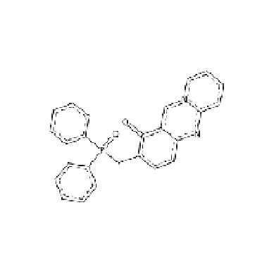 O=c1c(CP(=O)(c2ccccc2)c2ccccc2)ccc2nc3ccccn3cc1-2